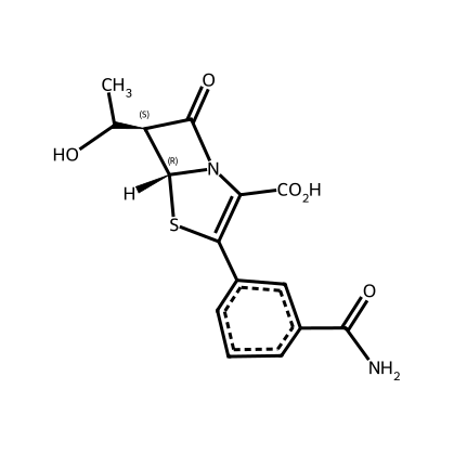 CC(O)[C@H]1C(=O)N2C(C(=O)O)=C(c3cccc(C(N)=O)c3)S[C@H]12